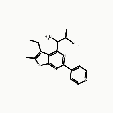 CCc1c(C)sc2nc(-c3ccncc3)nc(C(N)C(C)N)c12